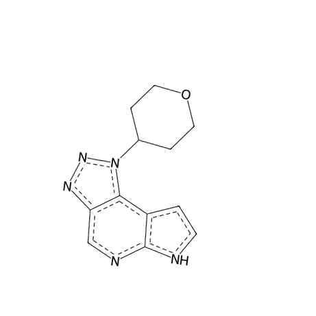 c1cc2c(ncc3nnn(C4CCOCC4)c32)[nH]1